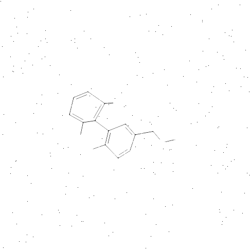 CCOCc1ccc(O)c(-c2c(O)cccc2Br)c1